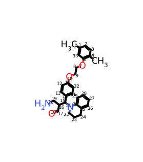 Cc1ccc(C)c(OCCOc2ccc(C(C(C=O)CN)N3CCCc4ccccc43)cc2)c1